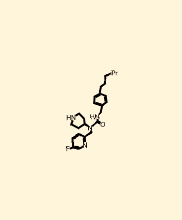 CC(C)CCCc1ccc(CNC(=O)N(Cc2ccc(F)cn2)C2CCNCC2)cc1